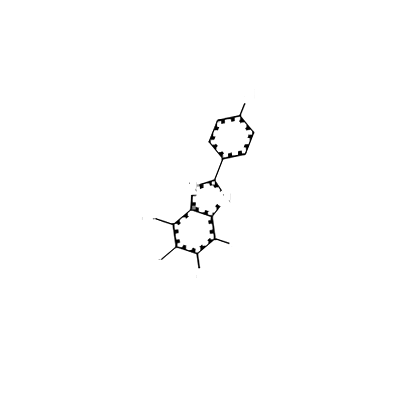 Clc1ccc(-c2nc3c(Cl)c(Cl)c(Cl)c(Cl)c3[nH]2)cc1